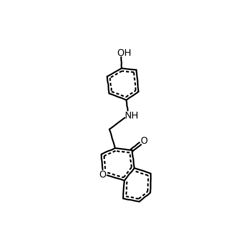 O=c1c(CNc2ccc(O)cc2)coc2ccccc12